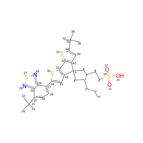 CCCCCC1(CCCCS(=O)(=O)O)c2cc(-c3ccc(C(C)(C)C)c4nsnc34)sc2-c2sc(C(C)(C)C)cc21